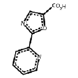 O=C(O)c1cnc(-c2ccccn2)o1